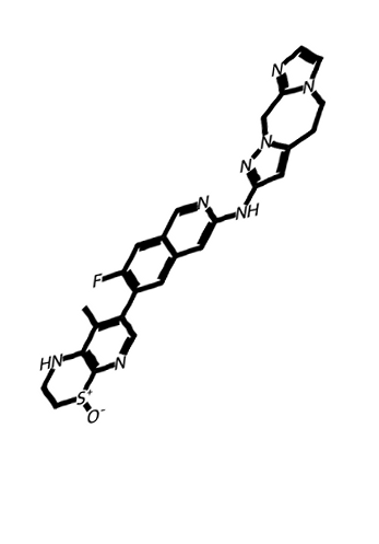 Cc1c(-c2cc3cc(Nc4cc5n(n4)Cc4nccn4CC5)ncc3cc2F)cnc2c1NCC[S+]2[O-]